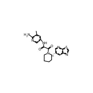 Cc1cc(NC(=O)C(=O)N2CCCC[C@H]2c2cnc3scnc3c2)cnc1N